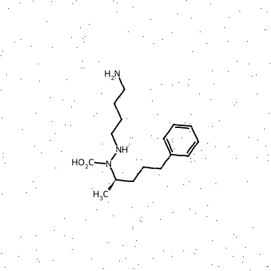 C[C@H](CCCc1ccccc1)N(NCCCCN)C(=O)O